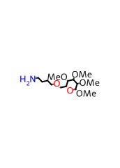 COC1OC(COCCCCN)C(OC)C(OC)C1OC